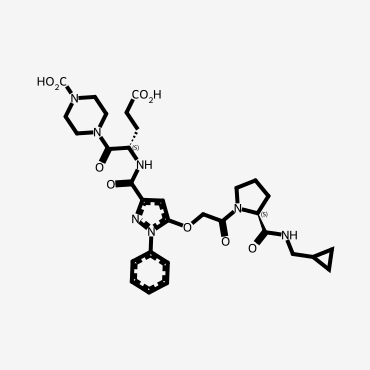 O=C(O)CC[C@H](NC(=O)c1cc(OCC(=O)N2CCC[C@H]2C(=O)NCC2CC2)n(-c2ccccc2)n1)C(=O)N1CCN(C(=O)O)CC1